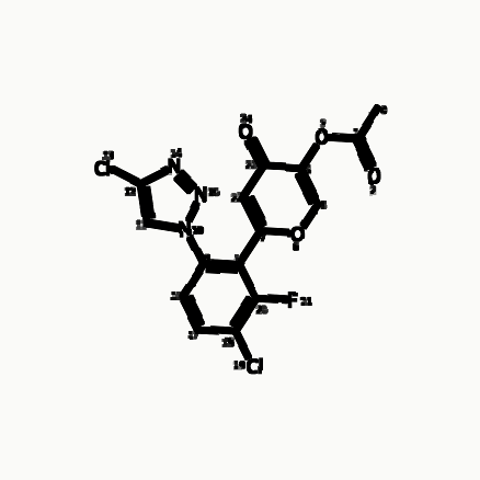 CC(=O)Oc1coc(-c2c(-n3cc(Cl)nn3)ccc(Cl)c2F)cc1=O